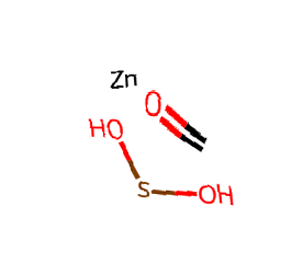 C=O.OSO.[Zn]